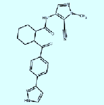 Cn1ncc(NC(=O)C2CCCCC2C(=O)c2ccc(-c3cc[nH]n3)cc2)c1C#N